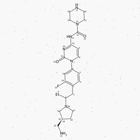 CCC(Cc1ccc(-n2ccc(NC(=O)N3CCNCC3)nc2=O)cc1F)N1CC[C@@H](CN)C1